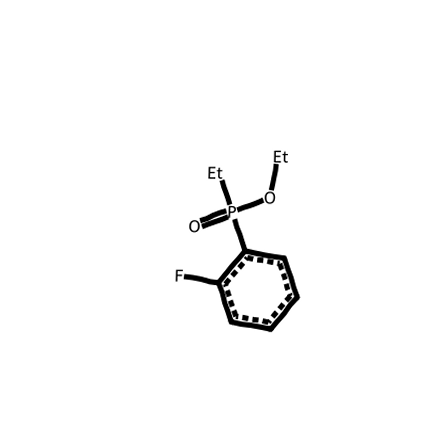 CCOP(=O)(CC)c1ccccc1F